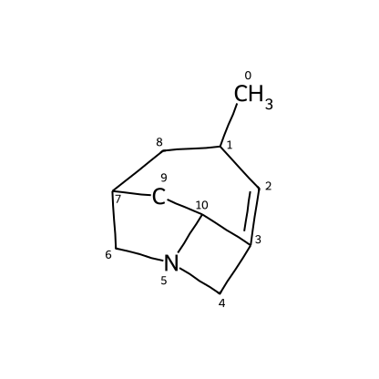 CC1C=C2CN3CC(C1)CC23